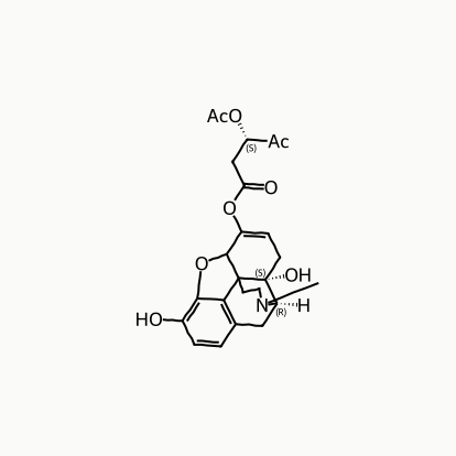 CC(=O)O[C@@H](CC(=O)OC1=CC[C@@]2(O)[C@H]3Cc4ccc(O)c5c4C2(CCN3C)C1O5)C(C)=O